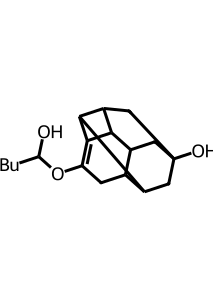 CCC(C)C(O)OC1=C2C3C4CC5(O)CC(C4C1)C2C3C5